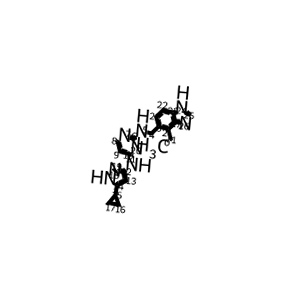 CCc1c(CNc2nccc(Nc3cc(C4CC4)[nH]n3)n2)ccc2[nH]cnc12